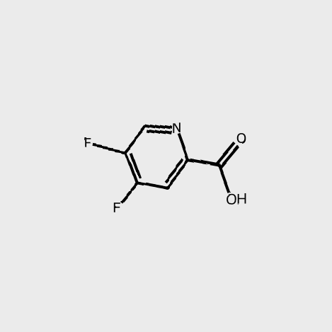 O=C(O)c1cc(F)c(F)cn1